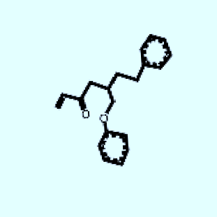 C=CC(=O)CC(CCc1ccccc1)COc1ccccc1